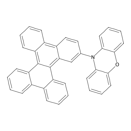 c1ccc2c(c1)Oc1ccccc1N2c1ccc2c3ccccc3c3c4ccccc4c4ccccc4c3c2c1